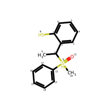 CC(c1ccccc1S)[SH](C)(=O)c1ccccc1